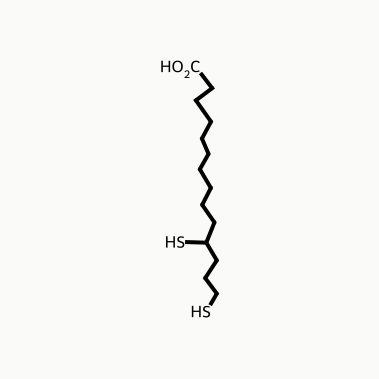 O=C(O)CCCCCCCCCC(S)CCCS